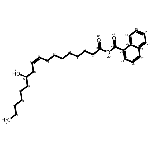 CCCCCC[C@@H](O)C/C=C\CCCCCCCC(=O)OC(=O)c1cccc2ccccc12